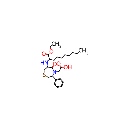 CCCCCCCCC(NC1CSCC(c2ccccc2)N(CC(=O)O)C1=O)C(=O)OCC